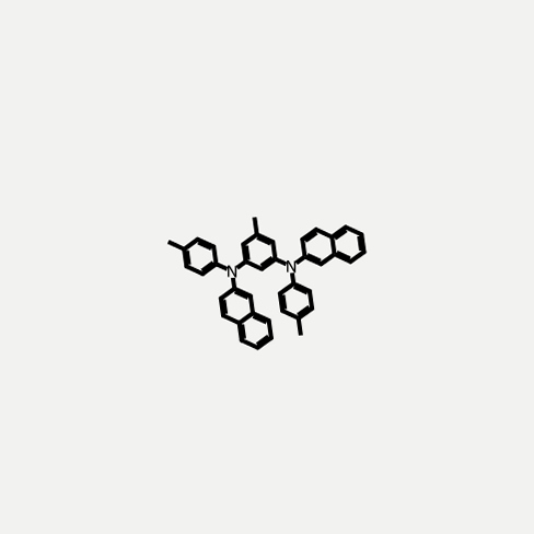 Cc1ccc(N(c2cc(C)cc(N(c3ccc(C)cc3)c3ccc4ccccc4c3)c2)c2ccc3ccccc3c2)cc1